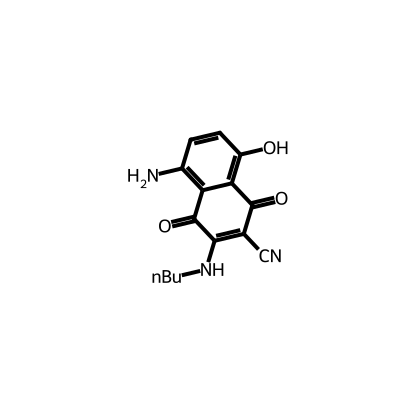 CCCCNC1=C(C#N)C(=O)c2c(O)ccc(N)c2C1=O